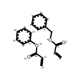 C=CC(=O)OCc1ccccc1.C=CC(=O)Oc1ccccc1